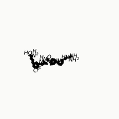 N=C(N)NCC[C@@H]1CCC[C@@H](c2ccc(-n3cc4cc(-c5cc(CCC[C@@H](N)CO)cc(Cl)c5F)[nH]c4nc3=O)cc2)N1